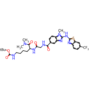 CN(C)C(=O)C(CCCCNC(=O)OC(C)(C)C)NC(=O)CNC(=O)c1ccc2c(c1)nc(Nc1nc3ccc(C(F)(F)F)cc3s1)n2C